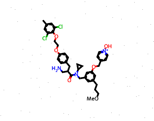 COCCCc1cc(CN(C(=O)C(CN)Cc2ccc(OCCOc3c(Cl)cc(C)cc3Cl)cc2)C2CC2)cc(OCc2cc[n+](O)cc2)c1